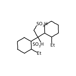 CCC1CCCCC1C(CS(=O)(=O)O)(C1CCCCC1CC)S(=O)(=O)O